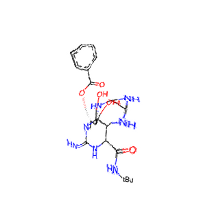 CC(C)(C)NC(=O)C1NC(=N)N2C[C@H](OC(=O)c3ccccc3)C(O)(O)[C@@]23NC2NC2NC13